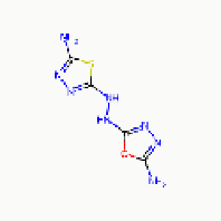 Nc1nnc(NNc2nnc(N)s2)o1